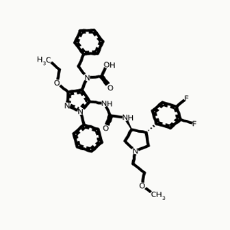 CCOc1nn(-c2ccccc2)c(NC(=O)N[C@@H]2CN(CCOC)C[C@H]2c2ccc(F)c(F)c2)c1N(Cc1ccccc1)C(=O)O